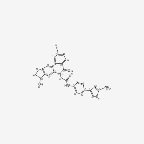 Nc1nc(-c2ccc(NC(=O)CN(C(=O)c3ccc(F)cc3)c3ccc4c(c3)C(O)CC4)cc2)cs1